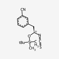 CC(C)(C)[Si](C)(C)O[C@@H](Cc1cccc(C#N)c1)N=C=S